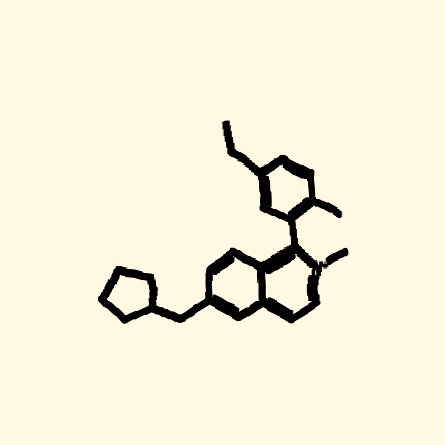 CCc1ccc(C)c(-c2c3ccc(CC4CCCC4)cc3cc[n+]2C)c1